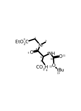 CCOC(=O)CN(C)C(=O)C(CC(=O)O)NC(=O)OC(C)(C)C